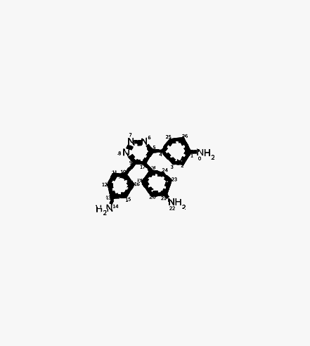 Nc1ccc(-c2nnnc(-c3ccc(N)cc3)c2-c2ccc(N)cc2)cc1